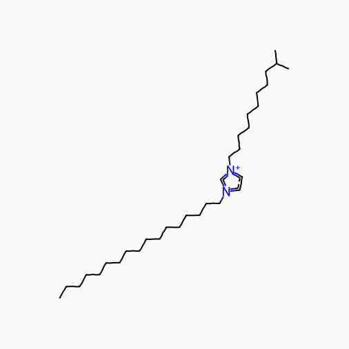 CCCCCCCCCCCCCCCCCn1cc[n+](CCCCCCCCCC(C)C)c1